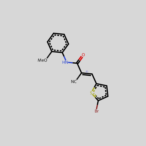 COc1ccccc1NC(=O)/C(C#N)=C/c1ccc(Br)s1